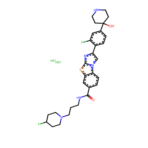 Cl.Cl.O=C(NCCCN1CCC(F)CC1)c1ccc2c(c1)sc1nc(-c3ccc(C4(O)CCNCC4)cc3F)cn12